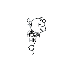 CCc1cccc(CNC[C@@H](O)[C@@H]2Cc3ccc(c(F)c3)OCCCCC(=O)N(C)CC(=O)N2)c1